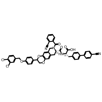 N#Cc1ccc(-c2ccc(C[C@H](NC(=O)[C@@H]3Cc4cc5c(cc4CN3C(=O)c3ccccc3C#N)OC(c3ccc(OCc4ccc(Cl)c(Cl)c4)cc3)CO5)C(=O)O)cc2)cc1